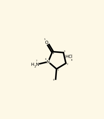 CC1CCC(=O)N1N.Cl